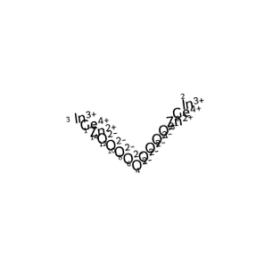 [Ge+4].[Ge+4].[In+3].[In+3].[O-2].[O-2].[O-2].[O-2].[O-2].[O-2].[O-2].[O-2].[O-2].[Zn+2].[Zn+2]